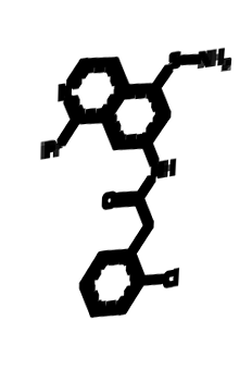 CC(C)c1nccc2c(SN)cc(NC(=O)Cc3ccccc3Cl)cc12